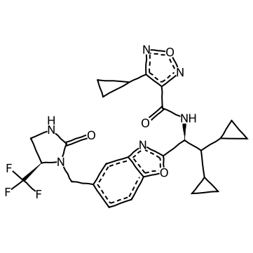 O=C(N[C@H](c1nc2cc(CN3C(=O)NC[C@@H]3C(F)(F)F)ccc2o1)C(C1CC1)C1CC1)c1nonc1C1CC1